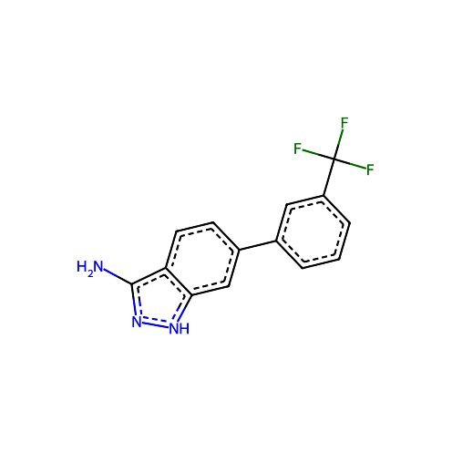 Nc1n[nH]c2cc(-c3cccc(C(F)(F)F)c3)ccc12